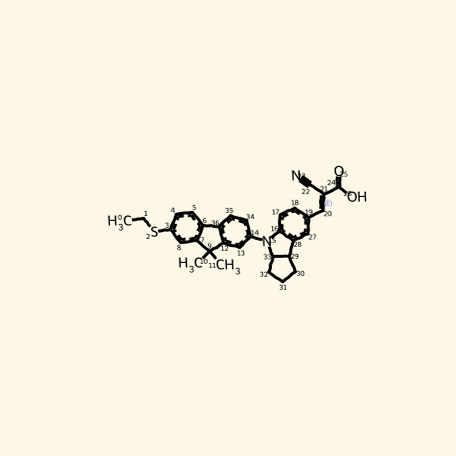 CCSc1ccc2c(c1)C(C)(C)c1cc(N3c4ccc(/C=C(\C#N)C(=O)O)cc4C4CCCC43)ccc1-2